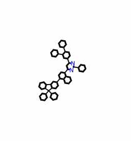 c1ccc(-c2nc(-c3ccc(-c4ccccc4)c(-c4ccccc4)c3)cc(-c3ccc(-c4ccc5c(c4)-c4ccccc4C5(c4ccccc4)c4ccccc4)c4ccccc34)n2)cc1